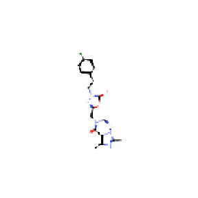 Cc1nc(C)n2ncn(Cc3nn(CCc4ccc(Cl)cc4)c(=O)o3)c(=O)c12